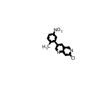 Cc1ccc([N+](=O)[O-])cc1-c1cnc2cc(Cl)ncc2c1